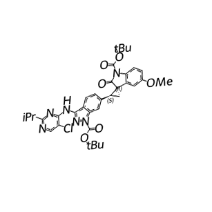 COc1ccc2c(c1)[C@]1(C[C@H]1c1ccc3c(Nc4nc(C(C)C)ncc4Cl)nn(C(=O)OC(C)(C)C)c3c1)C(=O)N2C(=O)OC(C)(C)C